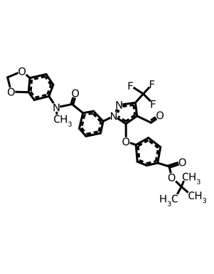 CN(C(=O)c1cccc(-n2nc(C(F)(F)F)c(C=O)c2Oc2ccc(C(=O)OC(C)(C)C)cc2)c1)c1ccc2c(c1)OCO2